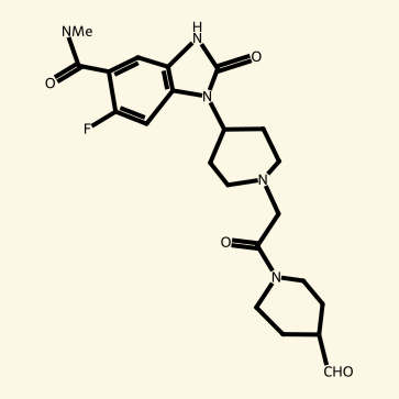 CNC(=O)c1cc2[nH]c(=O)n(C3CCN(CC(=O)N4CCC(C=O)CC4)CC3)c2cc1F